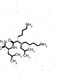 CC(C)C[C@H](NC(=O)[C@H](CCCCN)N(CCCCN)CC(C)C)C(N)=O